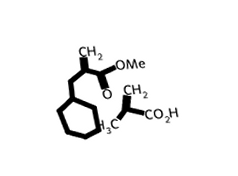 C=C(C)C(=O)O.C=C(CC1CCCCC1)C(=O)OC